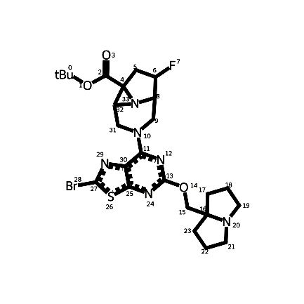 CC(C)(C)OC(=O)C12CC(F)C3CN(c4nc(OCC56CCCN5CCC6)nc5sc(Br)nc45)CC1N32